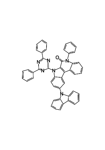 O=c1c2c(c3ccccc3n1-c1ccccc1)c1cc(-n3c4ccccc4c4ccccc43)ccc1n2-c1nc(-c2ccccc2)nc(-c2ccccc2)n1